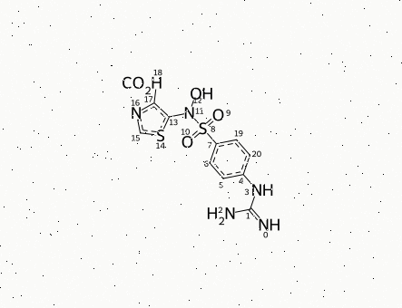 N=C(N)Nc1ccc(S(=O)(=O)N(O)c2scnc2C(=O)O)cc1